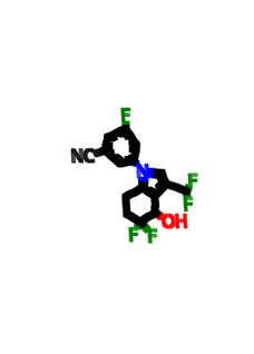 N#Cc1cc(F)cc(-n2cc(C(F)F)c3c2CCC(F)(F)C3O)c1